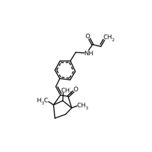 C=CC(=O)NCc1ccc(C=C2C(=O)C3(C)CCC2(C)C3C)cc1